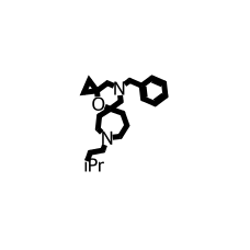 CC(C)CCN1CCCC2(CC1)CN(Cc1ccccc1)CC1(CC1)O2